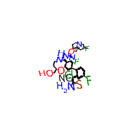 N#Cc1c(N)sc2c(F)ccc(-c3c(Cl)c4c5c(nc(OC[C@@]67CCCN6C[C@H](F)C7)nc5c3F)NCCC(CO)O4)c12